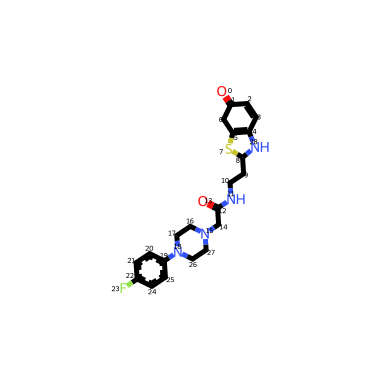 O=C1C=CC2=C(C1)SC(CCNC(=O)CN1CCN(c3ccc(F)cc3)CC1)N2